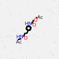 CC(=O)CCNC(=O)CCc1ccc(NC(=O)COCC(C)=O)cc1